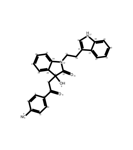 N#Cc1ccc(C(=O)CC2(O)C(=O)N(CCc3c[nH]c4ccccc34)c3ccccc32)cc1